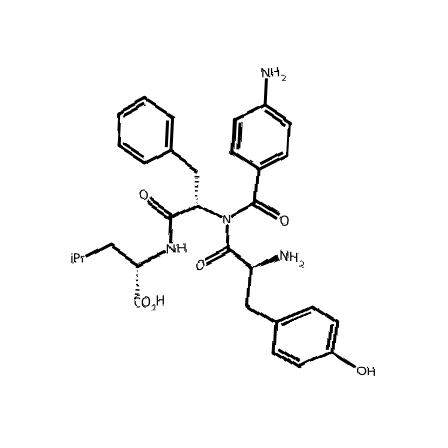 CC(C)C[C@H](NC(=O)[C@H](Cc1ccccc1)N(C(=O)c1ccc(N)cc1)C(=O)[C@@H](N)Cc1ccc(O)cc1)C(=O)O